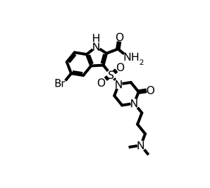 CN(C)CCCN1CCN(S(=O)(=O)c2c(C(N)=O)[nH]c3ccc(Br)cc23)CC1=O